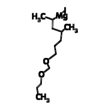 CCCOCOCCCC(C)C[CH](C)[Mg][I]